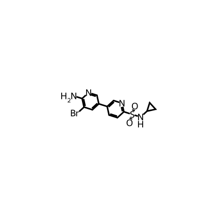 Nc1ncc(-c2ccc(S(=O)(=O)NC3CC3)nc2)cc1Br